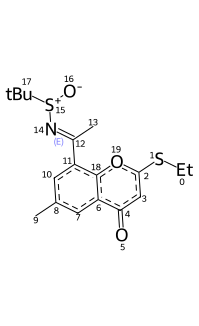 CCSc1cc(=O)c2cc(C)cc(/C(C)=N/[S+]([O-])C(C)(C)C)c2o1